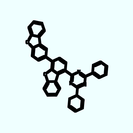 C1=CCC(c2nc(-c3ccccc3)nc(-c3ccc(-c4ccc5oc6ccccc6c5c4)c4oc5ccccc5c34)n2)C=C1